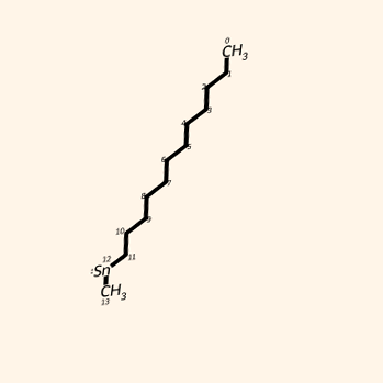 CCCCCCCCCCC[CH2][Sn][CH3]